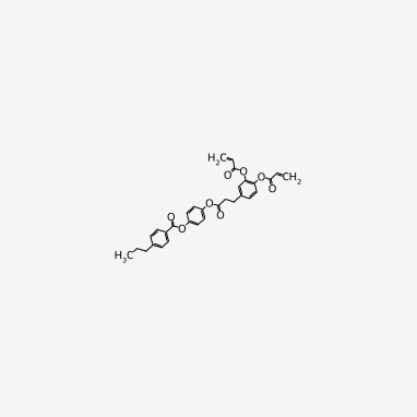 C=CC(=O)Oc1ccc(CCC(=O)Oc2ccc(OC(=O)c3ccc(CCC)cc3)cc2)cc1OC(=O)C=C